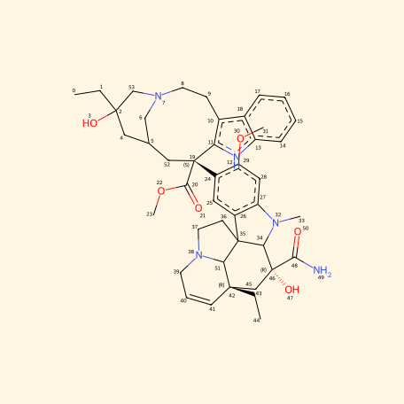 CCC1(O)CC2CN(CCc3c([nH]c4ccccc34)[C@@](C(=O)OC)(c3cc4c(cc3OC)N(C)C3C45CCN4CC=C[C@@](CC)(C[C@]3(O)C(N)=O)C45)C2)C1